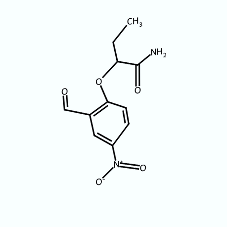 CCC(Oc1ccc([N+](=O)[O-])cc1C=O)C(N)=O